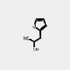 N#CC(C#N)Cc1ccco1